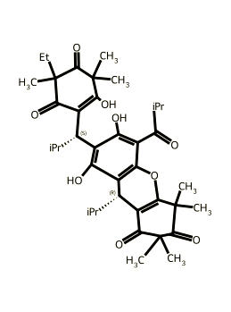 CCC1(C)C(=O)C([C@H](c2c(O)c(C(=O)C(C)C)c3c(c2O)[C@@H](C(C)C)C2=C(O3)C(C)(C)C(=O)C(C)(C)C2=O)C(C)C)=C(O)C(C)(C)C1=O